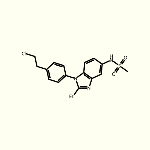 CCc1nc2cc(NS(C)(=O)=O)ccc2n1-c1ccc(CCCl)cc1